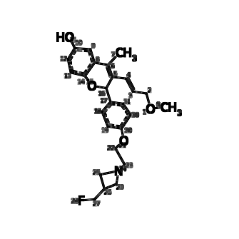 COCC=CC1=C(C)c2cc(O)ccc2OC1c1ccc(OCCN2CC(CF)C2)cc1